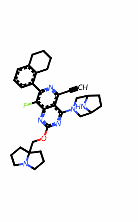 C#Cc1nc(-c2cccc3c2CCCC3)c(F)c2nc(OCC34CCCN3CCC4)nc(N3CC4CCC(C3)N4)c12